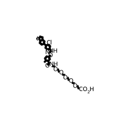 Cc1ccc(Oc2nc3cc(-c4ccc5c(ccn5C)c4)c(Cl)cc3[nH]2)cc1C(=O)NCCOCCOCCOCCOCCOCCC(=O)O